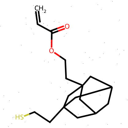 C=CC(=O)OCCC12CC3CC(CC(CCS)(C3)C1)C2